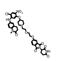 CN1C(=O)CCc2cc(Nc3cc(OC4CCN(CCOCCOc5ccc6c(c5)C(=O)N(C5CCC(=O)NC5=O)C6=O)CC4)c([N+](=O)[O-])cc3Cl)ccc21